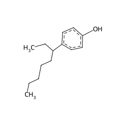 CCCCCC(CC)c1ccc(O)cc1